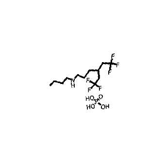 CCCCNCCCC(CC(F)(F)F)CC(F)(F)F.O=P(O)(O)O